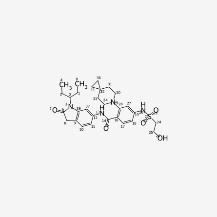 CCC(CC)N1C(=O)Cc2ccc(NC(=O)c3ccc(NS(=O)(=O)CCO)cc3N3CCC4(CC3)CC4)cc21